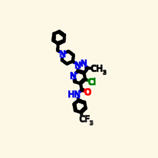 Cc1nn(C2CCN(Cc3ccccc3)CC2)c2ncc(C(=O)Nc3ccc(C(F)(F)F)cc3)c(Cl)c12